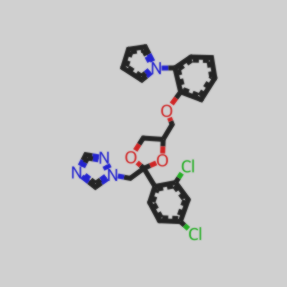 Clc1ccc(C2(Cn3cncn3)OCC(COc3ccccc3-n3cccc3)O2)c(Cl)c1